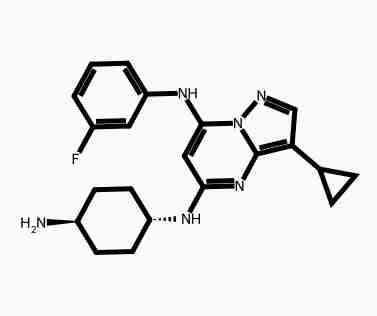 N[C@H]1CC[C@H](Nc2cc(Nc3cccc(F)c3)n3ncc(C4CC4)c3n2)CC1